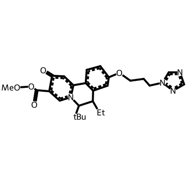 CCC1c2cc(OCCCn3cncn3)ccc2-c2cc(=O)c(C(=O)OOC)cn2C1C(C)(C)C